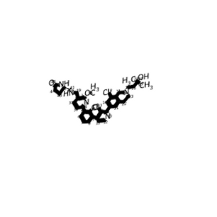 COc1nc(-c2cccc(-c3ccnc(-c4cc(Cl)c5c(c4)CCN(CCC(C)(C)O)C5)c3Cl)c2Cl)ccc1CNC[C@@H]1CCC(=O)N1